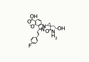 COc1c(C(=O)O)ccc2c1c(C=Cc1ccc(F)cc1)nn2C1CC1(CCO)C(N)=O